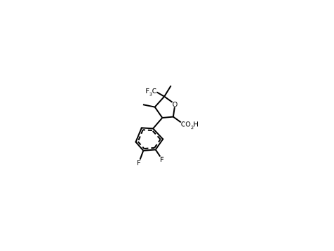 CC1C(c2ccc(F)c(F)c2)C(C(=O)O)OC1(C)C(F)(F)F